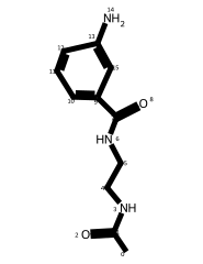 CC(=O)NCCNC(=O)c1cccc(N)c1